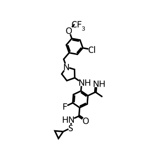 CC(=N)c1cc(C(=O)NSC2CC2)c(F)cc1NC1CCN(Cc2cc(Cl)cc(OC(F)(F)F)c2)C1